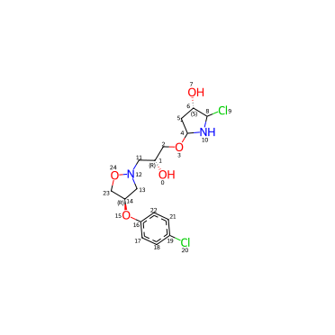 O[C@@H](COC1[CH][C@H](O)C(Cl)N1)CN1C[C@@H](Oc2ccc(Cl)cc2)CO1